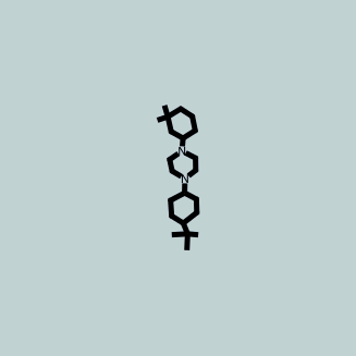 CC1(C)CCCC(N2CCN(C3CCC(C(C)(C)C)CC3)CC2)C1